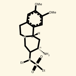 CCN(C1CN2CCc3cc(OC)c(OC)cc3[C@@H]2C[C@@H]1N)S(=O)(=O)CC